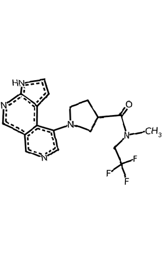 CN(CC(F)(F)F)C(=O)C1CCN(c2cncc3cnc4[nH]ccc4c23)C1